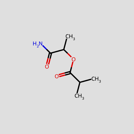 CC(C)C(=O)OC(C)C(N)=O